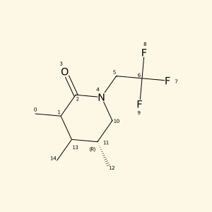 CC1C(=O)N(CC(F)(F)F)C[C@H](C)C1C